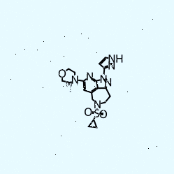 C[C@@H]1COCCN1c1cc2c3c(nn(-c4cc[nH]n4)c3n1)CCN(S(=O)(=O)C1CC1)C2